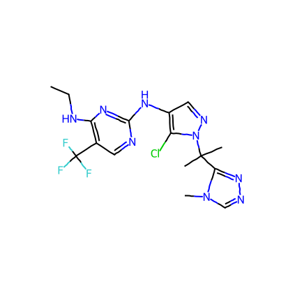 CCNc1nc(Nc2cnn(C(C)(C)c3nncn3C)c2Cl)ncc1C(F)(F)F